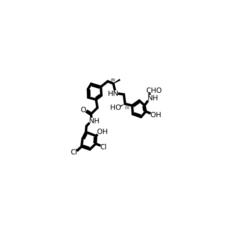 C[C@H](Cc1cccc(CC(=O)NCc2cc(Cl)cc(Cl)c2O)c1)NC[C@@H](O)c1ccc(O)c(NC=O)c1